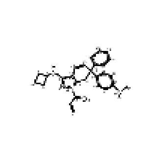 C=CC(=O)n1nc(NC2CCC2)c2c1CC(c1ccccc1)(c1ccc(N(C)C)cc1)C=C2